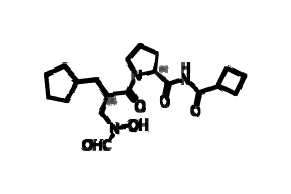 O=CN(O)C[C@@H](CC1CCCC1)C(=O)N1CCC[C@H]1C(=O)NC(=O)C1CCC1